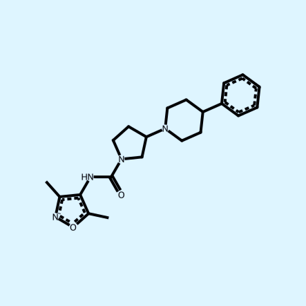 Cc1noc(C)c1NC(=O)N1CCC(N2CCC(c3ccccc3)CC2)C1